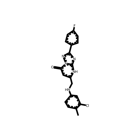 Cc1ccc(NCc2cc(=O)n3nc(-c4ccc(F)cc4)nc3[nH]2)cc1Cl